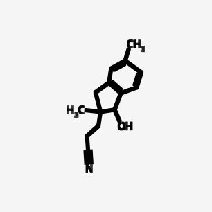 Cc1ccc2c(c1)CC(C)(CCC#N)C2O